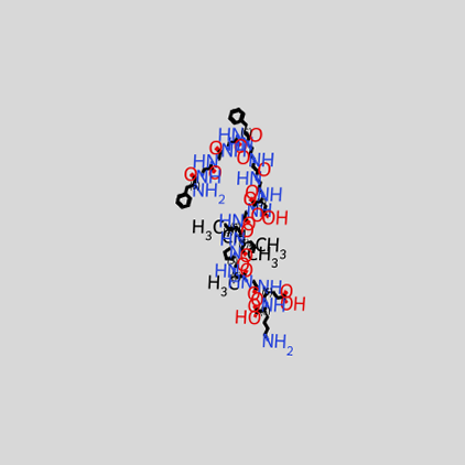 CC[C@H](C)[C@H](NC(=O)CNC(=O)[C@H](CC(=O)O)NC(=O)CNC(=O)CNC(=O)CNC(=O)[C@H](Cc1ccccc1)NC(=O)CNC(=O)CNC(=O)CNC(=O)[C@@H](N)Cc1ccccc1)C(=O)N[C@@H](CC(C)C)C(=O)N1CCC[C@H]1C(=O)N[C@@H](C)C(=O)NCC(=O)N[C@@H](CCC(=O)O)C(=O)N[C@@H](CCCCN)C(=O)O